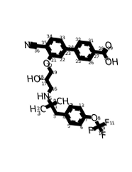 CC(C)(Cc1ccc(OC(F)(F)F)cc1)NC[C@H](O)COc1cc(-c2ccc(C(=O)O)cc2)ccc1C#N